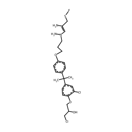 CC(C)(c1ccc(OCCCN(N)/C=C(\N)CSF)cc1)c1ccc(OCC(O)CCl)c(Cl)c1